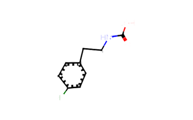 O=C(O)NCCc1ccc(F)cc1